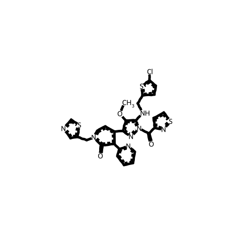 COc1c(-c2ccn(Cc3cncs3)c(=O)c2-c2ccccn2)nn(C(=O)c2ccsn2)c1NCc1ccc(Cl)s1